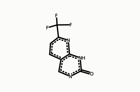 O=c1ncc2ccc(C(F)(F)F)nc2[nH]1